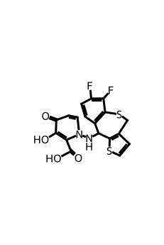 O=C(O)c1c(O)c(=O)ccn1NC1c2ccc(F)c(F)c2SCc2ccsc21